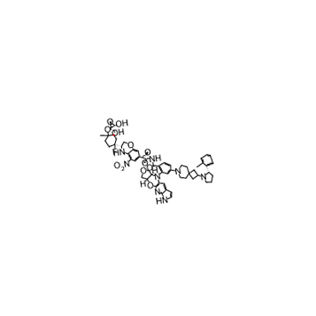 Cc1ccccc1[C@@H]1CCCN1C1CC2(CCN(c3ccc(C(=O)NS(=O)(=O)c4cc5c(c([N+](=O)[O-])c4)N[C@H](C4(F)CCC(C)(OP(=O)(O)O)CC4)CO5)c(N4c5cc6cc[nH]c6nc5O[C@@H]5COC[C@H]54)c3)CC2)C1